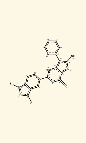 CC(=O)n1nc(C)c2cc(-c3cc(=O)n4nc(N)c(-c5ccccn5)c4[nH]3)ccc21